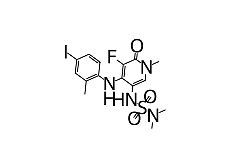 Cc1cc(I)ccc1Nc1c(NS(=O)(=O)N(C)C)cn(C)c(=O)c1F